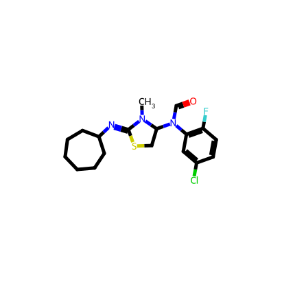 CN1C(=NC2CCCCCC2)SCC1N(C=O)c1cc(Cl)ccc1F